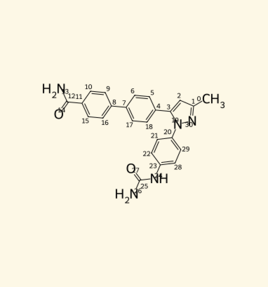 Cc1cc(-c2ccc(-c3ccc(C(N)=O)cc3)cc2)n(-c2ccc(NC(N)=O)cc2)n1